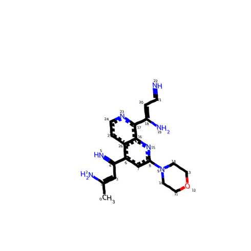 C/C(N)=C/C(=N)c1cc(N2CCOCC2)nc2c(/C(N)=C/C=N)nccc12